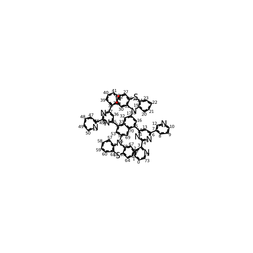 c1ccc(-c2nc(-c3cccnc3)cc(-c3cc(N4c5ccccc5Sc5ccccc54)cc4c(-c5cc(-c6cccnc6)nc(-c6ccccn6)n5)cc(N5c6ccccc6Sc6ccccc65)cc34)n2)nc1